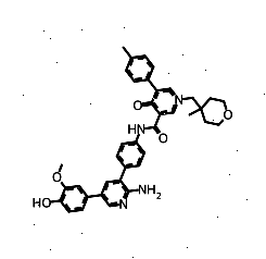 COc1cc(-c2cnc(N)c(-c3ccc(NC(=O)c4cn(CC5(C)CCOCC5)cc(-c5ccc(C)cc5)c4=O)cc3)c2)ccc1O